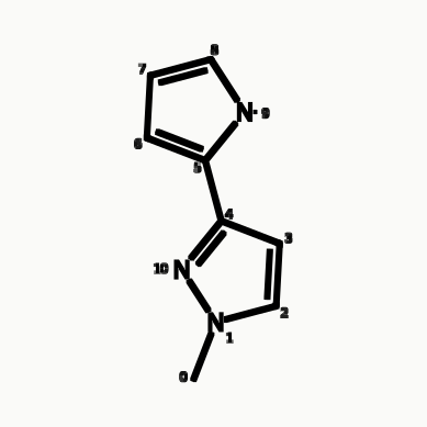 Cn1ccc(C2=CC=C[N]2)n1